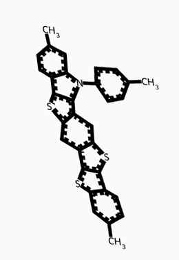 Cc1ccc(-n2c3cc(C)ccc3c3sc4cc5c(cc4c32)sc2c3ccc(C)cc3sc52)cc1